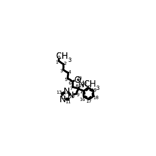 CCCCCCC1CC(Cn2cncn2)(c2ccccc2)N(C)O1